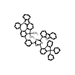 CC1(C)c2ccc3c4ccccc4n4c3c2-c2c(ccc(-c3cccc(-c5nc(-c6cccc7c6-c6ccccc6C7(c6ccccc6)c6ccccc6)nc(-c6cccc7c6oc6ccccc67)n5)c3)c21)-c1ccccc1-4